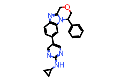 c1ccc(C2COCc3nc4ccc(-c5cnc(NC6CC6)nc5)cc4n32)cc1